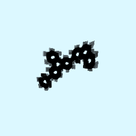 c1cnc(-c2ccc3c4ccc(-c5ccc6ccc7cccnc7c6n5)cc4c4ccccc4c3c2)nc1